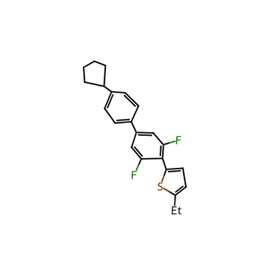 CCc1ccc(-c2c(F)cc(-c3ccc(C4CCCC4)cc3)cc2F)s1